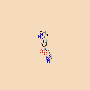 CN1CCN(c2ccc(N3C[C@H](Cn4ccnn4)OC3=O)cc2F)C=N1